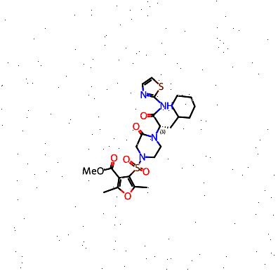 COC(=O)c1c(C)oc(C)c1S(=O)(=O)N1CCN([C@@H](CC2CCCCC2)C(=O)Nc2nccs2)C(=O)C1